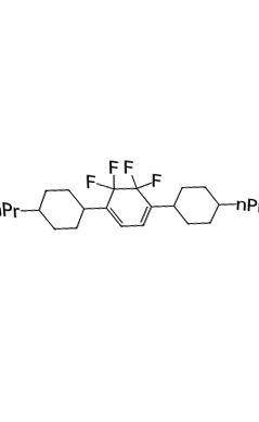 CCCC1CCC(C2=CC=C(C3CCC(CCC)CC3)C(F)(F)C2(F)F)CC1